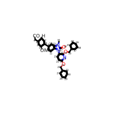 COc1cc(CC(=O)O)ccc1-c1ccc2c(c1)n(C)c(=O)n2-c1ccc(OCc2ccccc2)nc1OCc1ccccc1